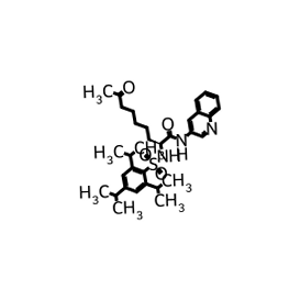 CC(=O)CCCCC[C@H](NS(=O)(=O)c1c(C(C)C)cc(C(C)C)cc1C(C)C)C(=O)Nc1cnc2ccccc2c1